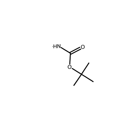 CC(C)(C)OC([NH])=O